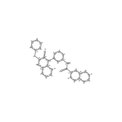 O=C(Nc1cccc(-n2c(=O)c(Cc3ccccc3)nc3cccnc32)c1)c1ccc2ccccc2c1